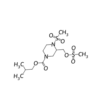 CC(C)COC(=O)N1CCN(S(C)(=O)=O)C(COS(C)(=O)=O)C1